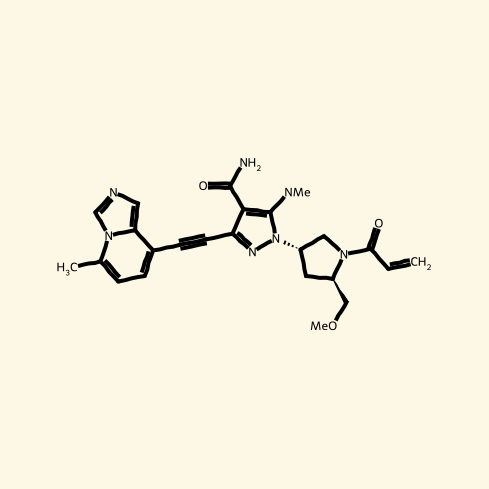 C=CC(=O)N1C[C@@H](n2nc(C#Cc3ccc(C)n4cncc34)c(C(N)=O)c2NC)C[C@@H]1COC